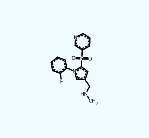 CNCc1cc(S(=O)(=O)c2cccnc2)n(-c2ccccc2F)c1